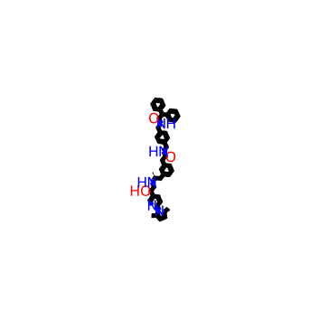 Cc1ccc(C)n1-c1ccc([C@@H](O)CN[C@H](C)Cc2cccc(CC(=O)NCc3ccc(CNC(=O)C(c4ccccc4)c4ccccc4)cc3)c2)cn1